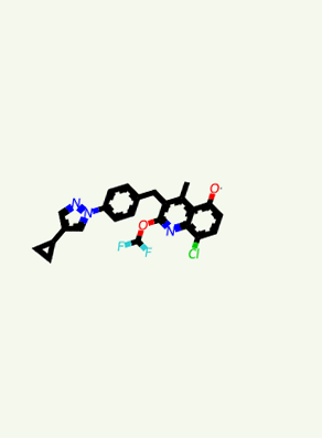 Cc1c(Cc2ccc(-n3cc(C4CC4)cn3)cc2)c(OC(F)F)nc2c(Cl)ccc([O])c12